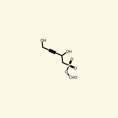 O=COS(=O)(=O)CC(O)C#CCO